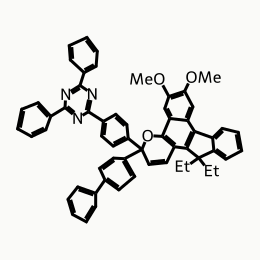 CCC1(CC)c2ccccc2-c2c1c1c(c3cc(OC)c(OC)cc23)OC(c2ccc(-c3ccccc3)cc2)(c2ccc(-c3nc(-c4ccccc4)nc(-c4ccccc4)n3)cc2)C=C1